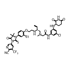 C=C[C@@H](CN(C)CC(=O)Nc1cc(Cl)cc(NC2CCC(=O)NC2=O)c1)NCCOc1ccc(N2C(=S)N(c3cnc(C#N)c(C(F)(F)F)c3)C(=O)C2(C)C)cc1CC